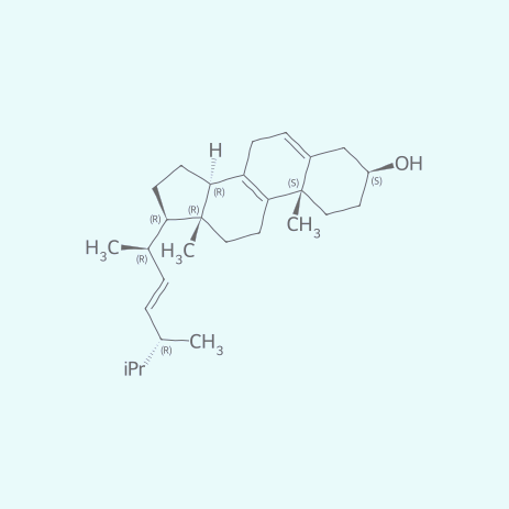 CC(C)[C@@H](C)C=C[C@@H](C)[C@H]1CC[C@H]2C3=C(CC[C@]12C)[C@@]1(C)CC[C@H](O)CC1=CC3